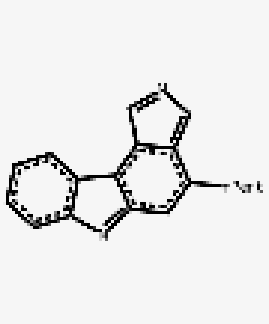 CCCCCc1cc2c(c3c1=CN=C3)-c1ccccc1N=2